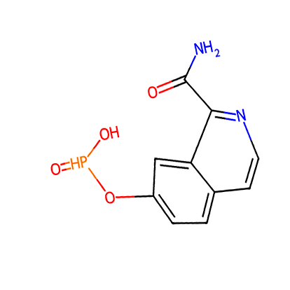 NC(=O)c1nccc2ccc(O[PH](=O)O)cc12